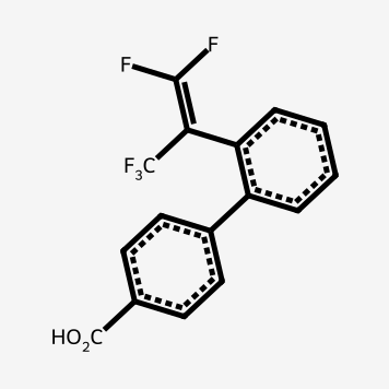 O=C(O)c1ccc(-c2ccccc2C(=C(F)F)C(F)(F)F)cc1